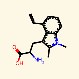 C=Cc1cccc2c1c(CC(N)C(=O)O)c(C)n2C